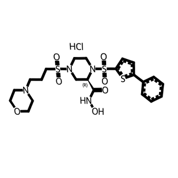 Cl.O=C(NO)[C@H]1CN(S(=O)(=O)CCCN2CCOCC2)CCN1S(=O)(=O)c1ccc(-c2ccccc2)s1